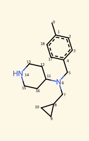 Cc1ccc(CN(CC2CC2)C2CCNCC2)cc1